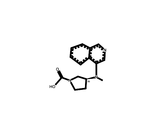 CN(c1cncc2ccccc12)[C@H]1CCN(C(=O)O)C1